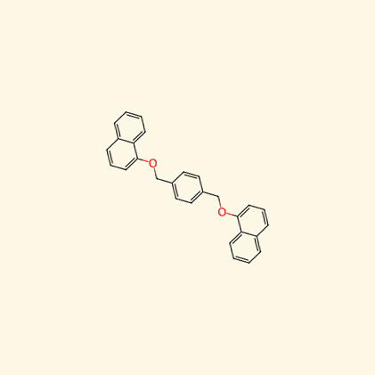 c1ccc2c(OCc3ccc(COc4cccc5ccccc45)cc3)cccc2c1